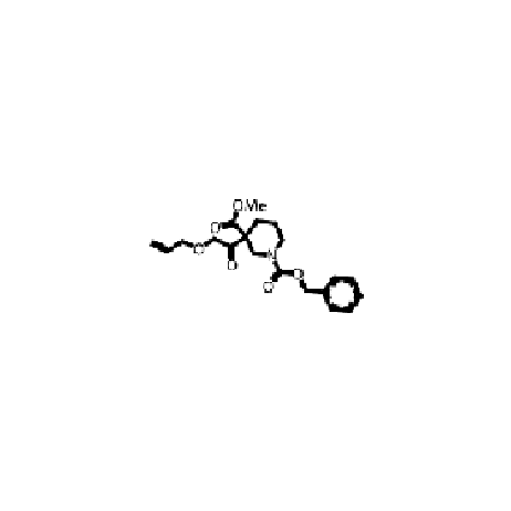 C=CCOCC(=O)C1(C(=O)OC)CCCN(C(=O)OCc2ccccc2)C1